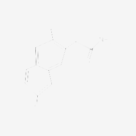 Cc1cc2ccc(Cl)cc2cc1CC(N)=O